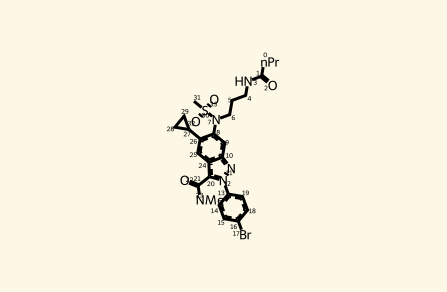 CCCC(=O)NCCCN(c1cc2nn(-c3ccc(Br)cc3)c(C(=O)NC)c2cc1C1CC1)S(C)(=O)=O